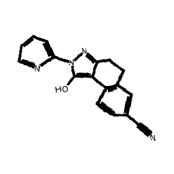 N#Cc1ccc2c(c1)CCc1nn(-c3ccccn3)c(O)c1-2